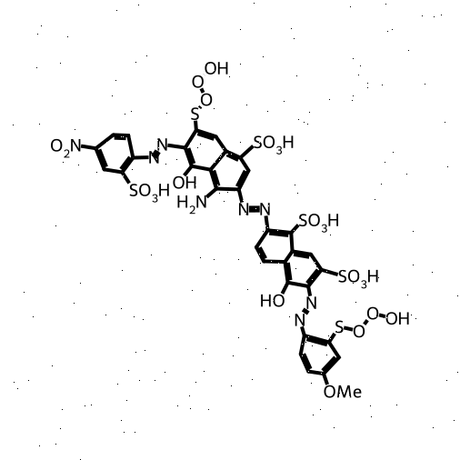 COc1ccc(N=Nc2c(S(=O)(=O)O)cc3c(S(=O)(=O)O)c(N=Nc4cc(S(=O)(=O)O)c5cc(SOOO)c(N=Nc6ccc([N+](=O)[O-])cc6S(=O)(=O)O)c(O)c5c4N)ccc3c2O)c(SOOO)c1